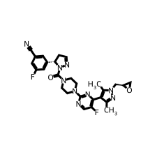 Cc1nn(C[C@H]2CO2)c(C)c1-c1nc(N2CCN(C(=O)N3N=CC[C@H]3c3cc(F)cc(C#N)c3)CC2)ncc1F